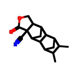 CC1C(C)C2CC1C1C3CC(C21)C1(C#N)C(=O)OCC31